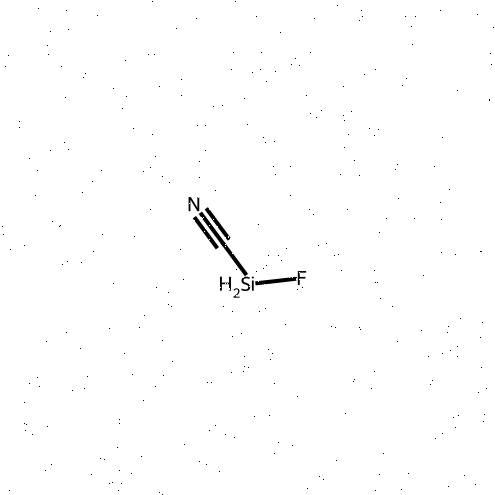 N#C[SiH2]F